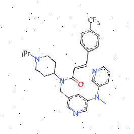 CC(C)N1CCC(N(Cc2cncc(N(C)c3cccnc3)c2)C(=O)C=Cc2ccc(C(F)(F)F)cc2)CC1